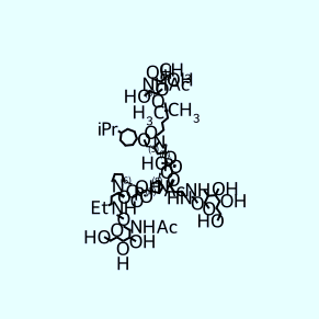 CCC(CC(=O)N1CCC[C@H]1COP(=O)(O)O[C@@H]1C[C@@H](COP(=O)(O)O[C@@H]2C[C@@H](COC3CCCC(C(C)C)CC3)N(C(=O)CCCC(C)(C)COC(OC(CO)[C@@H](C)O)[C@H](O)NC(C)=O)C2)N(C(=O)CCNCOC2OC(CO)C(O)C(O)C2NC(C)=O)C1)NCOC1OC(CO)C(O)C(O)C1NC(C)=O